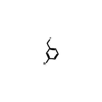 FCc1cc[c]c(Br)c1